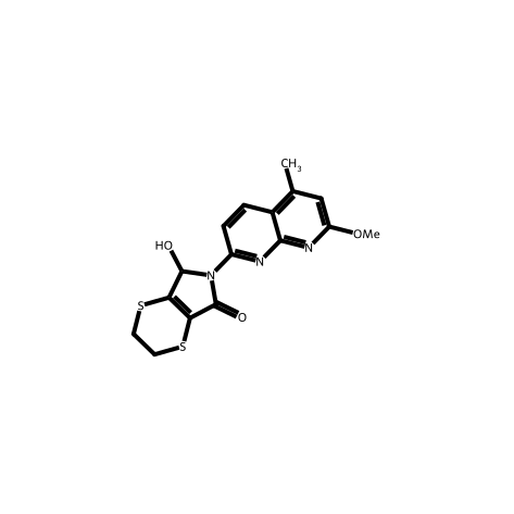 COc1cc(C)c2ccc(N3C(=O)C4=C(SCCS4)C3O)nc2n1